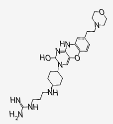 N=C(N)NCCCN[C@H]1CC[C@H](N2C=C3Oc4ccc(CCN5CCOCC5)cc4NC3=NC2O)CC1